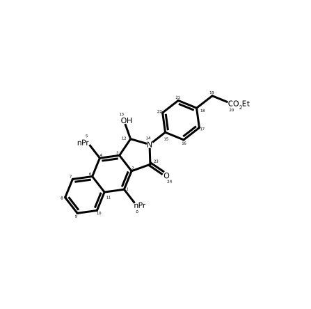 CCCc1c2c(c(CCC)c3ccccc13)C(O)N(c1ccc(CC(=O)OCC)cc1)C2=O